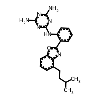 CC(C)CCc1cccc2oc(-c3ccccc3Nc3nc(N)nc(N)n3)nc12